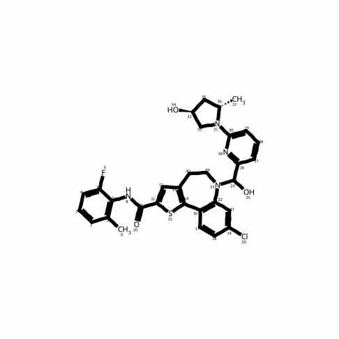 Cc1cccc(F)c1NC(=O)c1cc2c(s1)-c1ccc(Cl)cc1N(C(O)c1cccc(N3C[C@@H](O)C[C@@H]3C)n1)CC2